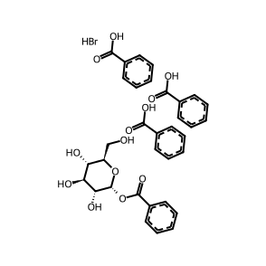 Br.O=C(O)c1ccccc1.O=C(O)c1ccccc1.O=C(O)c1ccccc1.O=C(O[C@H]1O[C@H](CO)[C@@H](O)[C@H](O)[C@H]1O)c1ccccc1